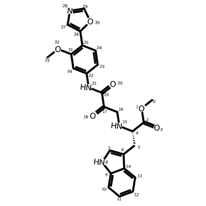 COC(=O)[C@H](Cc1c[nH]c2ccccc12)NCC(=O)C(=O)Nc1ccc(-c2cnco2)c(OC)c1